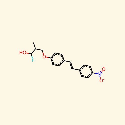 CC(COc1ccc(C=Cc2ccc([N+](=O)[O-])cc2)cc1)C(O)F